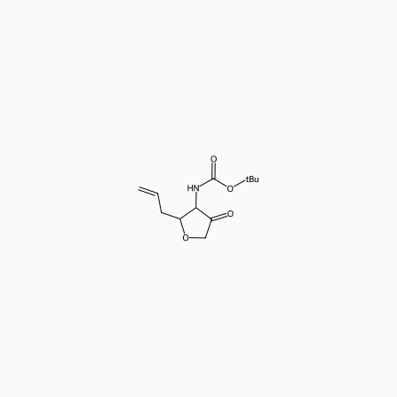 C=CCC1OCC(=O)C1NC(=O)OC(C)(C)C